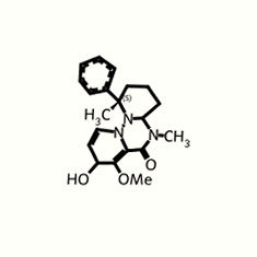 COC1=C2C(=O)N(C)C3CCC[C@@](C)(c4ccccc4)N3N2C=CC1O